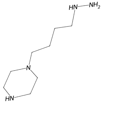 NNCCCCN1CCNCC1